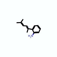 CC(C)=C/C=C(\C)c1ccccc1N